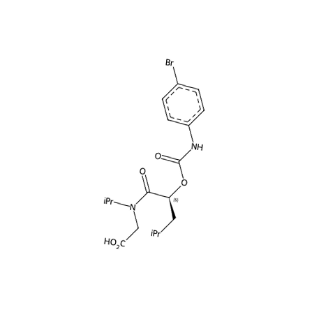 CC(C)C[C@H](OC(=O)Nc1ccc(Br)cc1)C(=O)N(CC(=O)O)C(C)C